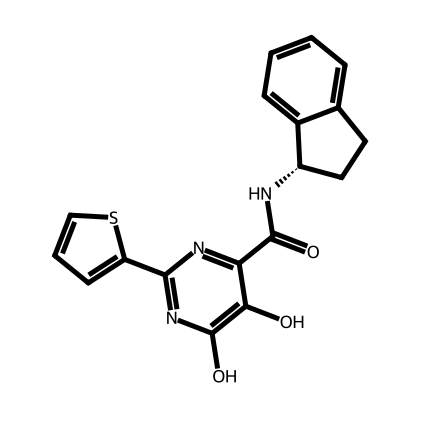 O=C(N[C@H]1CCc2ccccc21)c1nc(-c2cccs2)nc(O)c1O